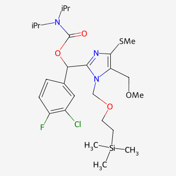 COCc1c(SC)nc(C(OC(=O)N(C(C)C)C(C)C)c2ccc(F)c(Cl)c2)n1COCC[Si](C)(C)C